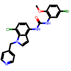 COc1ccc(Br)cc1NC(=O)Nc1ccc(Cl)c2c1ccn2Cc1ccncc1